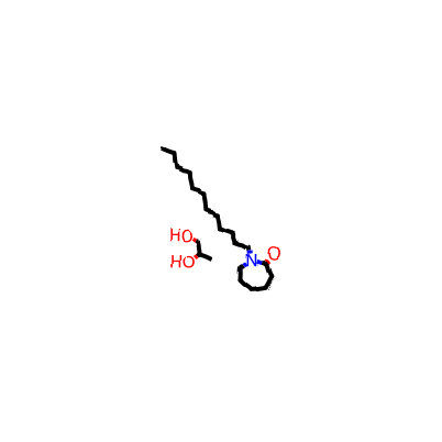 CC(O)CO.CCCCCCCCCCCCN1CCCCCC1=O